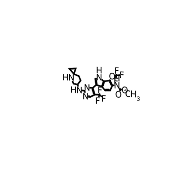 COC(=O)Nc1ccc2c(-c3nc(NC4CCC5(CC5)NC4)ncc3C(F)(F)F)c[nH]c2c1OC(F)(F)F